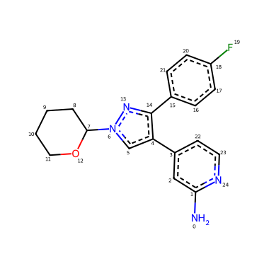 Nc1cc(-c2cn(C3CCCCO3)nc2-c2ccc(F)cc2)ccn1